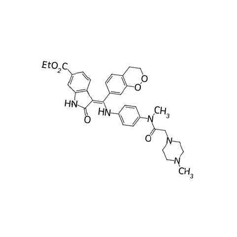 CCOC(=O)c1ccc2c(c1)NC(=O)/C2=C(\Nc1ccc(N(C)C(=O)CN2CCN(C)CC2)cc1)c1ccc2c(c1)OOCC2